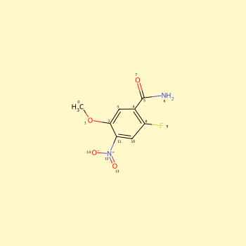 COc1cc(C(N)=O)c(F)cc1[N+](=O)[O-]